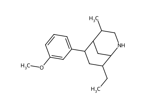 CCC1CC(c2cccc(OC)c2)C2CC1NCC2C